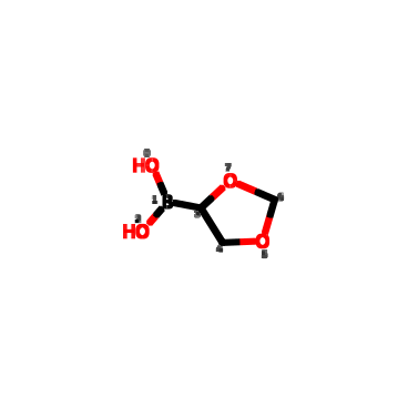 OB(O)C1COCO1